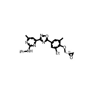 CCc1cc(-c2nc(-c3cc(C)nc(NC(C)C)n3)no2)cc(C)c1OC[C@@H]1CO1